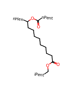 CCCCCCC(CCCCCCCCC(=O)OCC(C)CCC)OC(=O)CCCCC